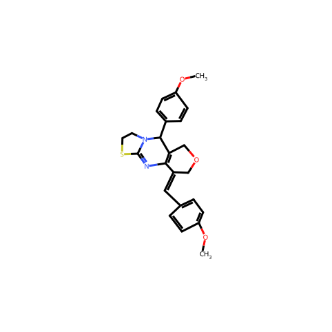 COc1ccc(C=C2COCC3=C2N=C2SCCN2C3c2ccc(OC)cc2)cc1